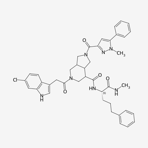 CNC(=O)[C@H](CCCc1ccccc1)NC(=O)C1CN(C(=O)Cc2c[nH]c3cc(Cl)ccc23)CC2CN(C(=O)c3cc(-c4ccccc4)n(C)n3)CC21